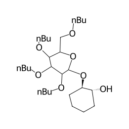 CCCCOCC1OC(O[C@@H]2CCCC[C@H]2O)C(OCCCC)C(OCCCC)C1OCCCC